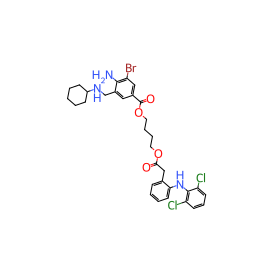 Nc1c(Br)cc(C(=O)OCCCCOC(=O)Cc2ccccc2Nc2c(Cl)cccc2Cl)cc1CNC1CCCCC1